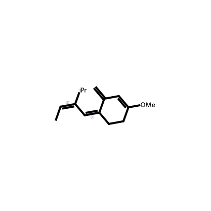 C=C1C=C(OC)CC/C1=C/C(=C\C)C(C)C